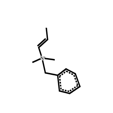 CC=C[N+](C)(C)Cc1ccccc1